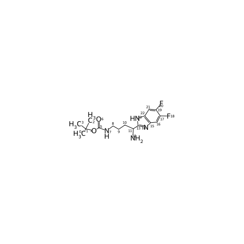 CC(C)(C)OC(=O)NCCCC(N)c1nc2cc(F)c(F)cc2[nH]1